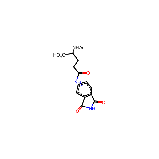 CC(=O)NC(CCC(N)=O)C(=O)O.O=C1NC(=O)c2ccccc21